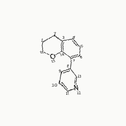 [CH]1CCc2cccc(-c3cccnc3)c2O1